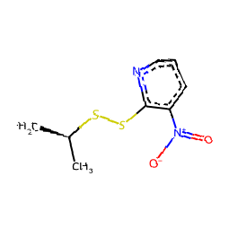 [CH2][C@H](C)SSc1ncccc1[N+](=O)[O-]